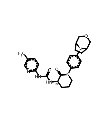 O=C(Nc1ccc(C(F)(F)F)cn1)N[C@@H]1CCCN(c2ccc(N3C4CCC3COC4)cc2)C1=O